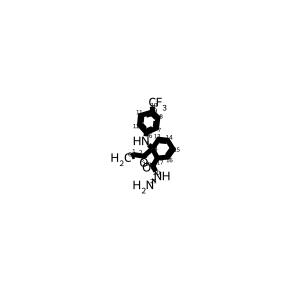 C=CC(=O)C1(Nc2ccc(C(F)(F)F)cc2)C=CC=CC1C(=O)NN